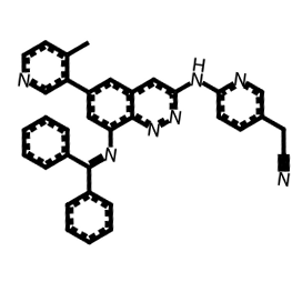 Cc1ccncc1-c1cc(N=C(c2ccccc2)c2ccccc2)c2nnc(Nc3ccc(CC#N)cn3)cc2c1